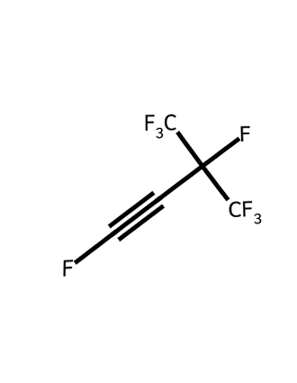 FC#CC(F)(C(F)(F)F)C(F)(F)F